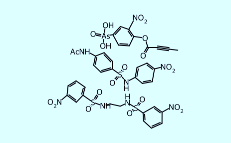 CC#CC(=O)Oc1ccc([As](=O)(O)O)cc1[N+](=O)[O-].CC(=O)Nc1ccc(S(=O)(=O)Nc2ccc([N+](=O)[O-])cc2)cc1.O=[N+]([O-])c1cccc(S(=O)(=O)NCCNS(=O)(=O)c2cccc([N+](=O)[O-])c2)c1